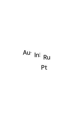 [Au].[In].[Pt].[Ru]